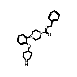 O=C(OCc1ccccc1)N1CCN(c2ccccc2OC2CCNCC2)CC1